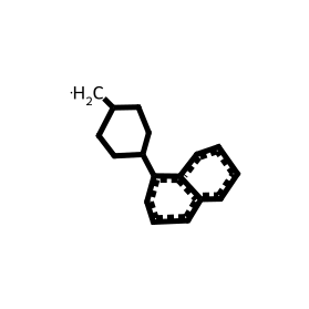 [CH2]C1CCC(c2cccc3ccccc23)CC1